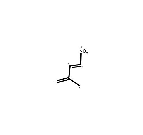 C=C(C)C=C[N+](=O)[O-]